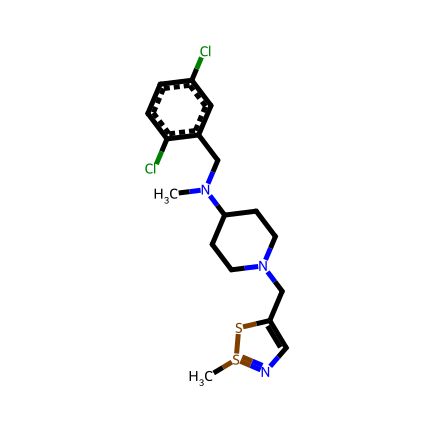 CN(Cc1cc(Cl)ccc1Cl)C1CCN(CC2=CN=S(C)S2)CC1